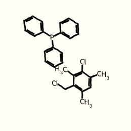 Cc1cc(C)c(CCl)c(C)c1Cl.c1ccc(P(c2ccccc2)c2ccccc2)cc1